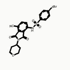 CC(C)(C)c1ccc(S(=O)(=O)Nc2ccc(C#N)c3c2C(=O)N(C2CCOCC2)C3=O)cc1